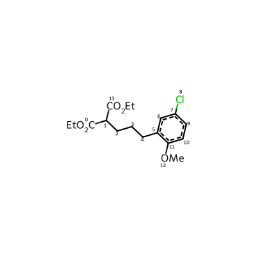 CCOC(=O)C(CCCc1cc(Cl)ccc1OC)C(=O)OCC